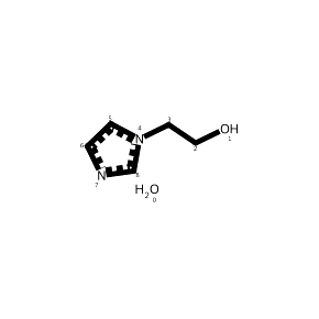 O.OCCn1ccnc1